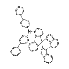 c1ccc(-c2ccc(N(c3ccc(-c4ccccc4)cc3)c3cccc4c3-c3ccccc3C43c4ccc5ccccc5c4-c4cccc5cccc3c45)cc2)cc1